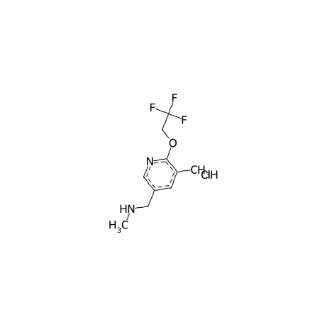 CNCc1cnc(OCC(F)(F)F)c(C)c1.Cl